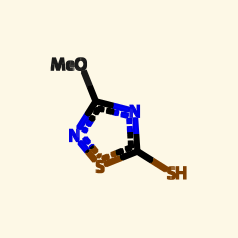 COc1nsc(S)n1